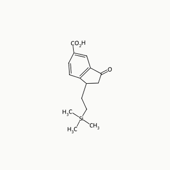 C[Si](C)(C)CCC1CC(=O)c2cc(C(=O)O)ccc21